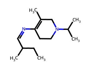 CCC(C)/C=N\C1=C(C)CN(C(C)C)CC1